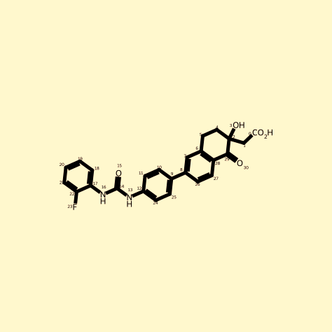 O=C(O)CC1(O)CCc2cc(-c3ccc(NC(=O)Nc4ccccc4F)cc3)ccc2C1=O